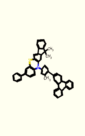 Cc1cc(N2c3ccc(-c4ccccc4)cc3Sc3cc4c(cc32)C(C)(C)c2ccccc2-4)ccc1-c1ccc2c3ccccc3c3ccccc3c2c1